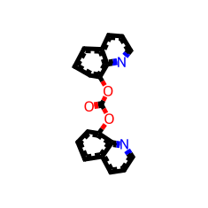 O=C(Oc1cccc2cccnc12)Oc1cccc2cccnc12